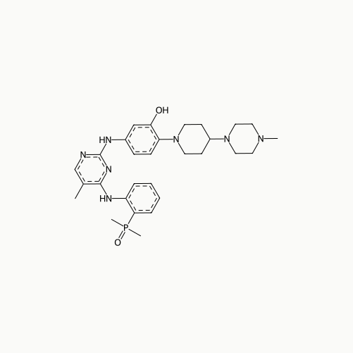 Cc1cnc(Nc2ccc(N3CCC(N4CCN(C)CC4)CC3)c(O)c2)nc1Nc1ccccc1P(C)(C)=O